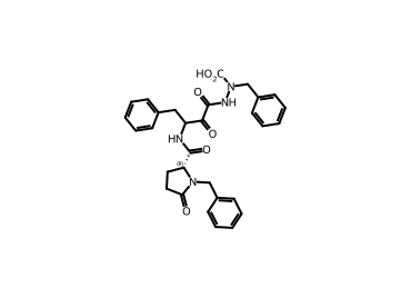 O=C(NN(Cc1ccccc1)C(=O)O)C(=O)C(Cc1ccccc1)NC(=O)[C@H]1CCC(=O)N1Cc1ccccc1